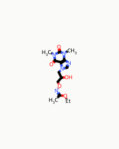 CCOC(C)=NOCC(O)Cn1cnc2c1c(=O)n(C)c(=O)n2C